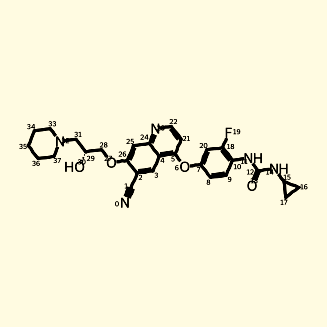 N#Cc1cc2c(Oc3ccc(NC(=O)NC4CC4)c(F)c3)ccnc2cc1OC[C@H](O)CN1CCCCC1